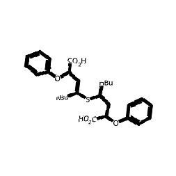 CCCCC(CC(Oc1ccccc1)C(=O)O)SC(CCCC)CC(Oc1ccccc1)C(=O)O